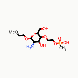 COCCOC1OC(CO)C(OCCOP(C)(=O)O)C(O)C1N